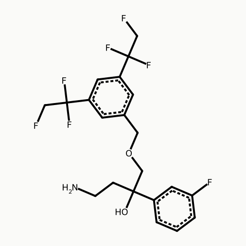 NCCC(O)(COCc1cc(C(F)(F)CF)cc(C(F)(F)CF)c1)c1cccc(F)c1